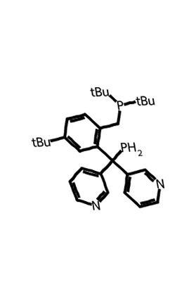 CC(C)(C)c1ccc(CP(C(C)(C)C)C(C)(C)C)c(C(P)(c2cccnc2)c2cccnc2)c1